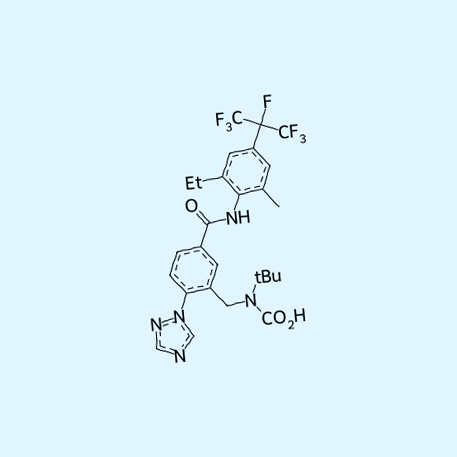 CCc1cc(C(F)(C(F)(F)F)C(F)(F)F)cc(C)c1NC(=O)c1ccc(-n2cncn2)c(CN(C(=O)O)C(C)(C)C)c1